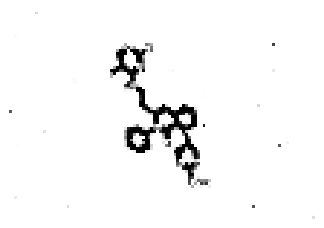 COc1ncc(-c2cccc3cc(CCNc4nc(Cl)ncc4I)n(-c4ccccc4)c(=O)c23)cn1